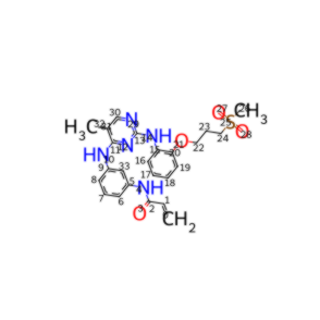 C=CC(=O)Nc1cccc(Nc2nc(Nc3ccccc3OCCCS(C)(=O)=O)ncc2C)c1